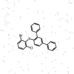 Clc1cccc(Br)c1Sc1ccc(-c2ccccc2)cc1-c1ccccc1